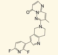 Cc1cc2nccc(=O)n2nc1N1CCc2ncc(-c3ccc(F)nc3F)cc2C1